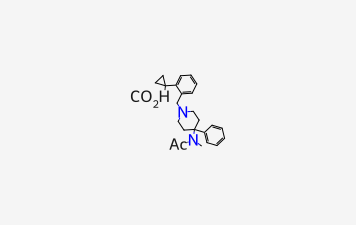 CC(=O)N(C)C1(c2ccccc2)CCN(Cc2ccccc2C2(C(=O)O)CC2)CC1